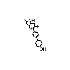 Cc1cc2nc(-c3ccc(-c4ccc(O)cc4)cc3)c(F)cc2[nH]1